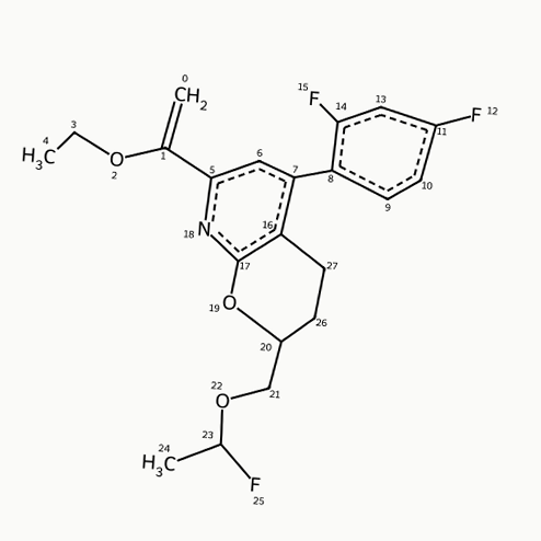 C=C(OCC)c1cc(-c2ccc(F)cc2F)c2c(n1)OC(COC(C)F)CC2